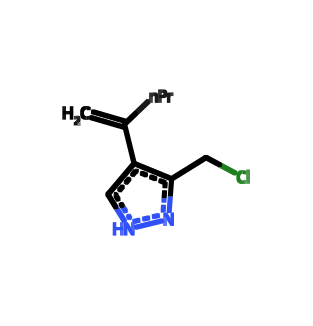 C=C(CCC)c1c[nH]nc1CCl